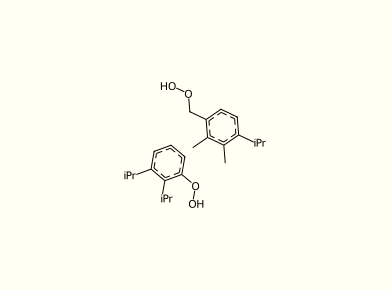 CC(C)c1cccc(OO)c1C(C)C.Cc1c(COO)ccc(C(C)C)c1C